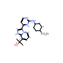 CCOC(=O)C1CCC(Nc2nccc(-c3cnc4c(C(C)(C)O)cccn34)n2)CC1